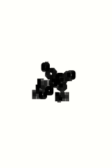 CNCc1cc(-c2ccoc2)n(S(=O)(=O)c2ccc(OC)cc2)c1.O=C(O)C(F)(F)F